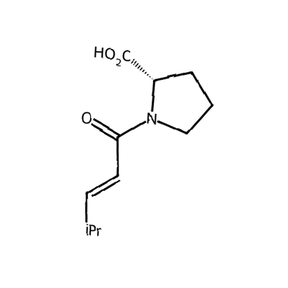 CC(C)/C=C/C(=O)N1CCC[C@H]1C(=O)O